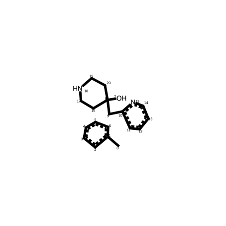 Cc1ccccc1.OC1(Cc2ccccn2)CCNCC1